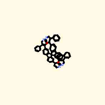 c1ccc(-c2cnccc2-c2ccc3c(c2)C2(c4cc(-c5ccncc5-c5ccccc5)ccc4-3)c3cc(-c4ccncc4-c4ccccc4)ccc3-c3ccc(-c4ccncc4-c4ccccc4)cc32)cc1